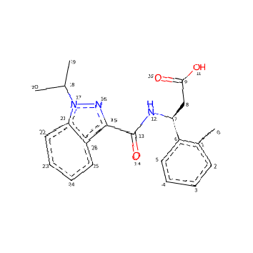 Cc1ccccc1[C@H](CC(=O)O)NC(=O)c1nn(C(C)C)c2ccccc12